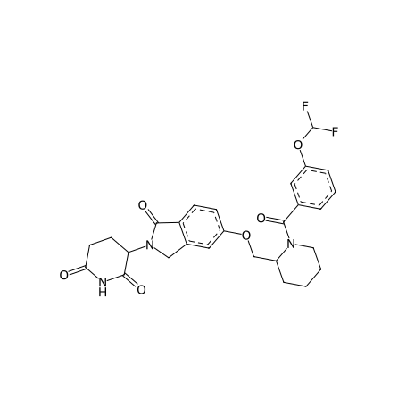 O=C1CCC(N2Cc3cc(OCC4CCCCN4C(=O)c4cccc(OC(F)F)c4)ccc3C2=O)C(=O)N1